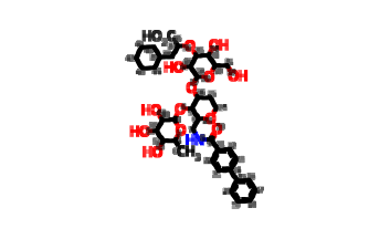 CC1OC(OC2C(CNC(=O)c3ccc(-c4ccccc4)cc3)OCCC2OC2OC(CO)C(O)C(OC(CC3CCCCC3)C(=O)O)C2O)C(O)C(O)C1O